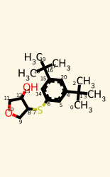 CC(C)(C)c1cc(SC2COCC2O)cc(C(C)(C)C)c1